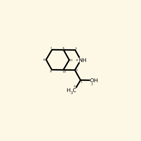 CC(O)C1NCC2CCCC1C2